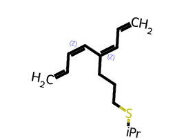 C=C/C=C\C(=C/C=C)CCCSC(C)C